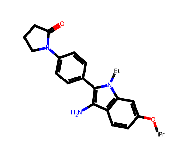 CCn1c(-c2ccc(N3CCCC3=O)cc2)c(N)c2ccc(OC(C)C)cc21